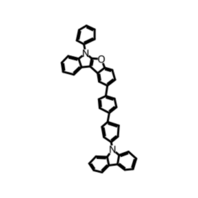 c1ccc(-n2c3ccccc3c3c4cc(-c5ccc(-c6ccc(-n7c8ccccc8c8ccccc87)cc6)cc5)ccc4oc32)cc1